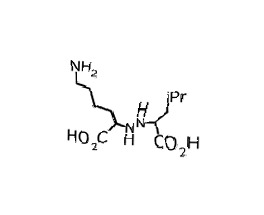 CC(C)CC(NNC(CCCCN)C(=O)O)C(=O)O